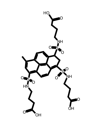 Cc1cc(S(=O)(=O)NCCCC(=O)O)c2ccc3c4c(ccc1c24)C(S(=O)(=O)NCCCC(=O)O)CC=3S(=O)(=O)NCCCC(=O)O